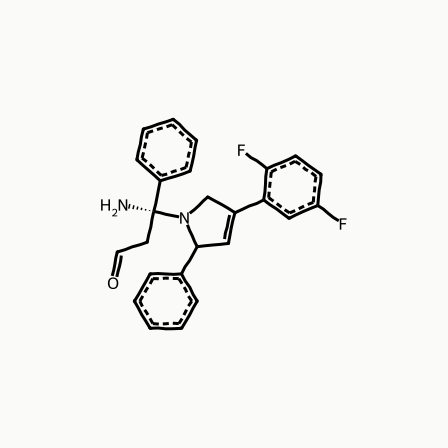 N[C@](CC=O)(c1ccccc1)N1CC(c2cc(F)ccc2F)=CC1c1ccccc1